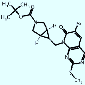 CSc1ncc2cc(Br)c(=O)n(C[C@@H]3[C@@H]4CN(C(=O)OC(C)(C)C)C[C@@H]43)c2n1